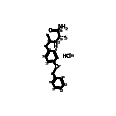 CC(Cc1ccc(OCc2ccccc2)cc1)N[C@@H](C)C(N)=O.Cl